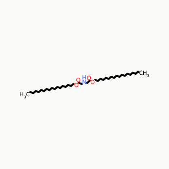 CCCCCCCCCCCCCCCCCCOC(=O)CNCC(=O)OCCCCCCCCCCCCCCCCCC